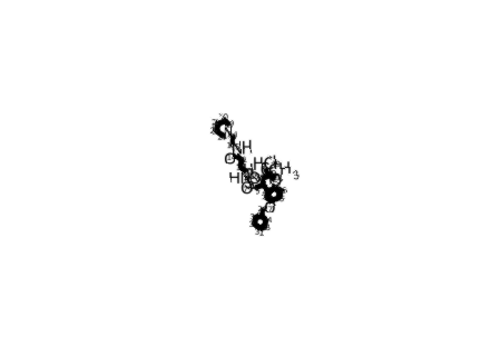 CC1(C)CC(CS(=O)(=O)NCCCC(=O)NCCN2CCCCC2)c2cc(OCc3ccccc3)ccc2O1.Cl